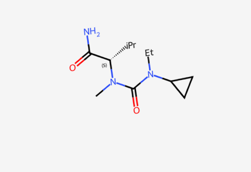 CCN(C(=O)N(C)[C@H](C(N)=O)C(C)C)C1CC1